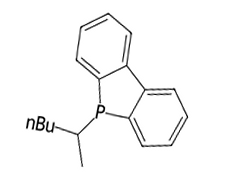 CCCCC(C)p1c2ccccc2c2ccccc21